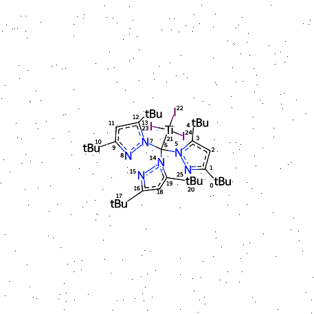 CC(C)(C)c1cc(C(C)(C)C)n([C](n2nc(C(C)(C)C)cc2C(C)(C)C)(n2nc(C(C)(C)C)cc2C(C)(C)C)[Ti]([I])([I])[I])n1